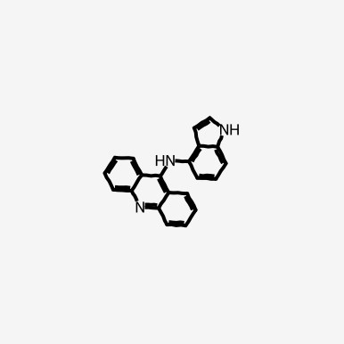 c1ccc2c(Nc3cccc4[nH]ccc34)c3ccccc3nc2c1